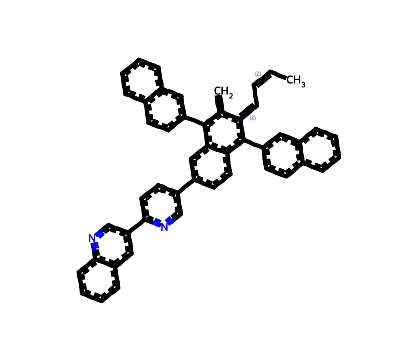 C=c1c(-c2ccc3ccccc3c2)c2cc(-c3ccc(-c4cnc5ccccc5c4)nc3)ccc2c(-c2ccc3ccccc3c2)/c1=C/C=C\C